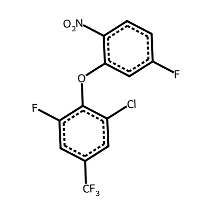 O=[N+]([O-])c1ccc(F)cc1Oc1c(F)cc(C(F)(F)F)cc1Cl